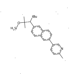 Cc1ccc(-c2ccc3cc(C(C(C)(C)C)C(C)(C)O[SiH3])ccc3c2)cn1